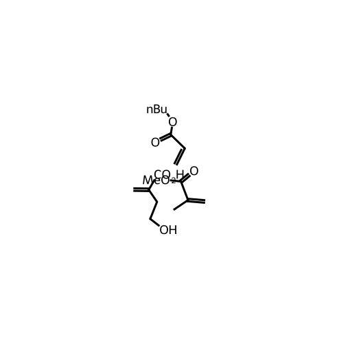 C=C(C)C(=O)OC.C=C(CCO)C(=O)O.C=CC(=O)OCCCC